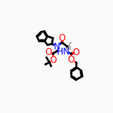 C[C@H](NC(=O)OCc1ccccc1)C(=O)N(CC(=O)OC(C)(C)C)C1Cc2ccccc2C1